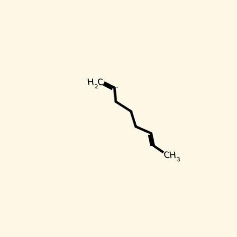 C=[C]CCCC=CC